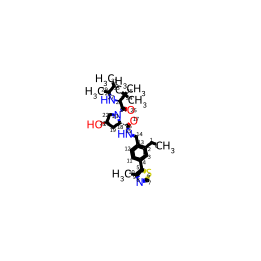 CCc1cc(-c2scnc2C)ccc1CNC(=O)[C@@H]1C[C@@H](O)CN1C(=O)[C@@H](NC(C)CC)C(C)(C)C